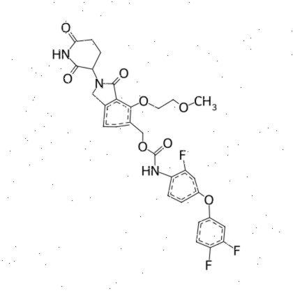 COCCOc1c(COC(=O)Nc2ccc(Oc3ccc(F)c(F)c3)cc2F)ccc2c1C(=O)N(C1CCC(=O)NC1=O)C2